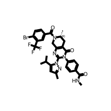 CNC(=O)c1ccc(-n2c(-n3nc(C)cc3C(C)C)nc3c(c2=O)C[C@@H](C)N(C(=O)c2ccc(Br)c(C(F)(F)F)c2)C3)cc1